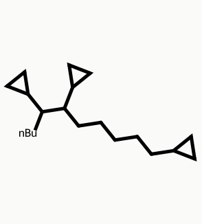 CCCCC(C1CC1)C(CCCCCC1CC1)C1CC1